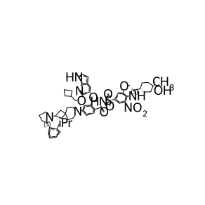 CC(C)c1ccccc1[C@@H]1CCCN1C1CC2(CCN(c3ccc(C(=O)NS(=O)(=O)c4cc5c(c([N+](=O)[O-])c4)N[C@@H]([C@H]4CC[C@](C)(O)CC4)CO5)c(Oc4cc5cc[nH]c5nc4OCC4CCC4)c3)CC2)C1